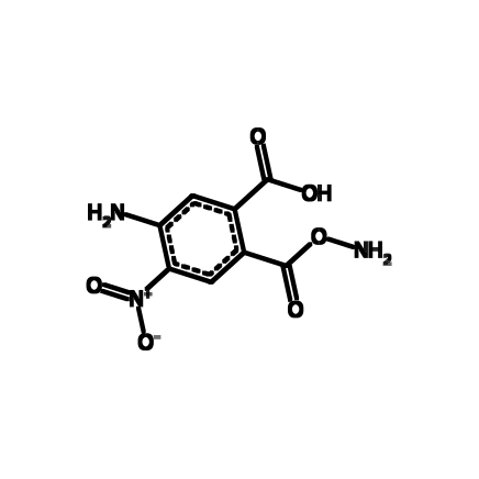 NOC(=O)c1cc([N+](=O)[O-])c(N)cc1C(=O)O